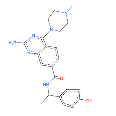 CC(NC(=O)c1ccc2c(N3CCN(C)CC3)nc(N)nc2c1)c1ccc(O)cc1